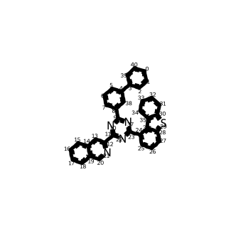 c1ccc(-c2cccc(-c3nc(-c4cc5ccccc5cn4)nc(-c4cccc5sc6ccccc6c45)n3)c2)cc1